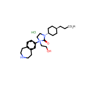 Cl.O=C(O)CC[C@H]1CC[C@H](N2CC[N+](CCO)(c3ccc4c(c3)CCNCC4)C2=O)CC1